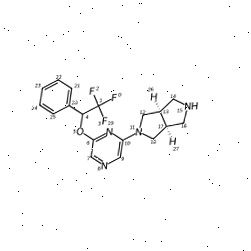 FC(F)(F)C(Oc1cncc(N2C[C@H]3CNC[C@H]3C2)n1)c1ccccc1